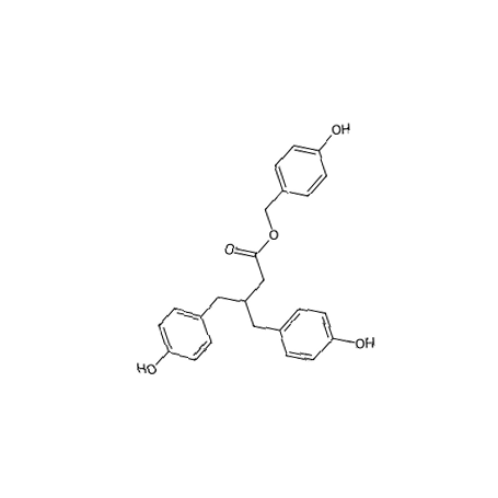 O=C(CC(Cc1ccc(O)cc1)Cc1ccc(O)cc1)OCc1ccc(O)cc1